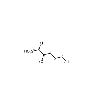 O=S(=O)(O)C(Cl)C(Cl)CCCCl